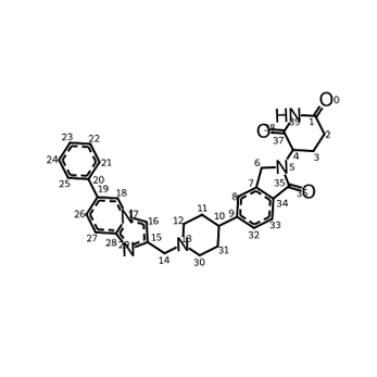 O=C1CCC(N2Cc3cc(C4CCN(Cc5cn6cc(-c7ccccc7)ccc6n5)CC4)ccc3C2=O)C(=O)N1